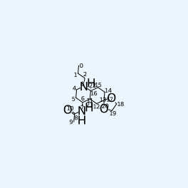 CCCN1CC[C@H](NC(C)=O)[C@@H]2CC3(CC[C@@H]21)OCCO3